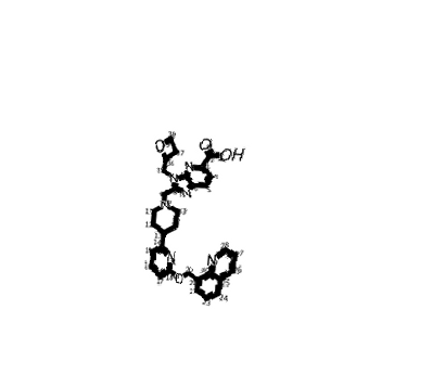 O=C(O)c1ccc2nc(CN3CCC(c4cccc(OCc5cccc6cccnc56)n4)CC3)n(CC3CCO3)c2n1